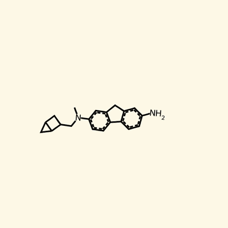 CN(CC1CC2CC21)c1ccc2c(c1)Cc1cc(N)ccc1-2